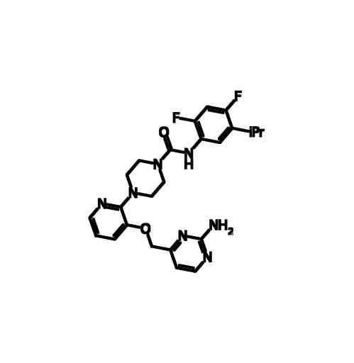 CC(C)c1cc(NC(=O)N2CCN(c3ncccc3OCc3ccnc(N)n3)CC2)c(F)cc1F